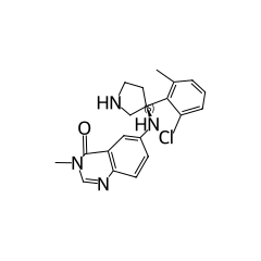 Cc1cccc(Cl)c1[C@@]1(Nc2ccc3ncn(C)c(=O)c3c2)CCNC1